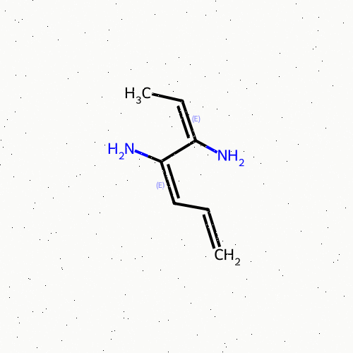 C=C/C=C(N)\C(N)=C/C